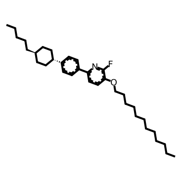 CCCCCCCCCCCCOc1ccc(-c2ccc([C@H]3CC[C@H](CCCCC)CC3)cc2)nc1F